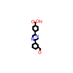 O=Cc1cccc(-c2cnc(-c3ccc(C(=O)O)cc3)cn2)c1